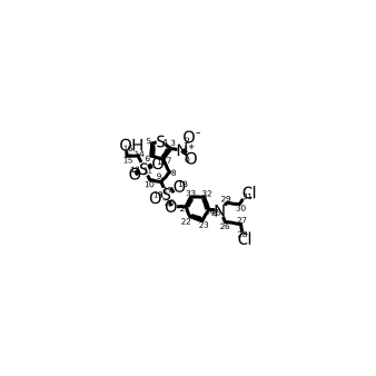 O=[N+]([O-])c1sccc1CC(CS(=O)(=O)CCO)S(=O)(=O)Oc1ccc(N(CCCl)CCCl)cc1